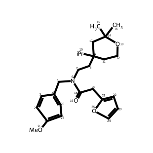 COc1ccc(CN(CCC2(C(C)C)CCOC(C)(C)C2)C(=O)Cc2ccco2)cc1